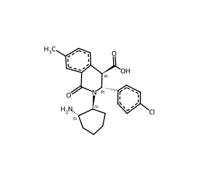 Cc1ccc2c(c1)C(=O)N([C@H]1CCCC[C@@H]1N)[C@@H](c1ccc(Cl)cc1)[C@@H]2C(=O)O